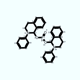 O=[PH](OC1c2ccccc2CCN1c1ccccc1)OC1c2ccccc2CCN1c1ccccc1